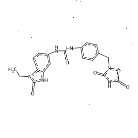 CCn1c(=O)[nH]c2cc(NC(=O)Nc3ccc(Cn4sc(=O)[nH]c4=O)cc3)ccc21